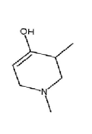 CC1CN(C)CC=C1O